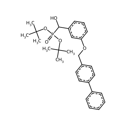 CC(C)(C)OP(=O)(OC(C)(C)C)C(O)c1cccc(OCc2ccc(-c3ccccc3)cc2)c1